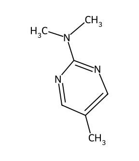 Cc1cnc(N(C)C)nc1